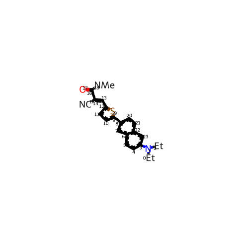 CCN(CC)c1ccc2cc(-c3ccc(/C=C(\C#N)C(=O)NC)s3)ccc2c1